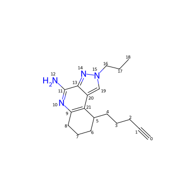 C#CCCCC1CCCc2nc(N)c3nn(CCC)cc3c21